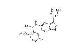 COc1ccc(F)cc1C(C)Nc1ccn2ncc(-c3cn[nH]c3)c2n1